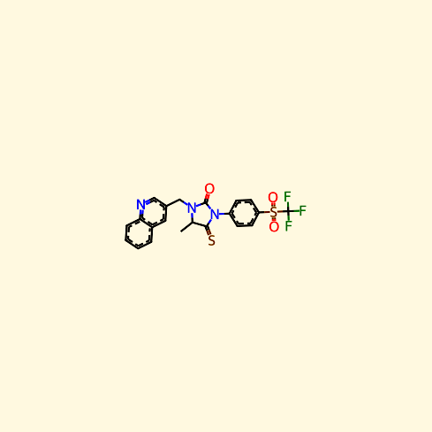 CC1C(=S)N(c2ccc(S(=O)(=O)C(F)(F)F)cc2)C(=O)N1Cc1cnc2ccccc2c1